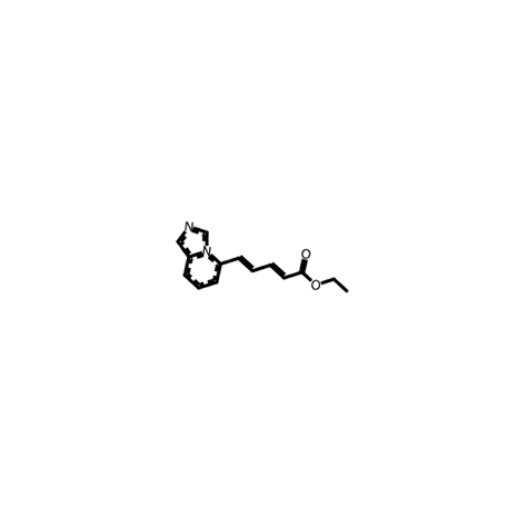 CCOC(=O)C=CC=Cc1cccc2cncn12